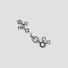 O=C(N[C@H]1C[C@@H](CCN2CCN(c3cccc(Cl)c3Cl)CC2)C1)N1CCC1